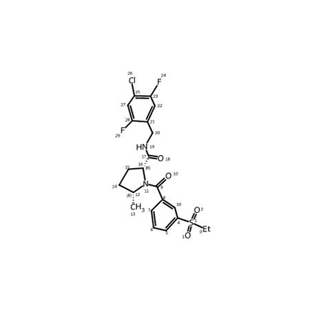 CCS(=O)(=O)c1cccc(C(=O)N2[C@H](C)CC[C@@H]2C(=O)NCc2cc(F)c(Cl)cc2F)c1